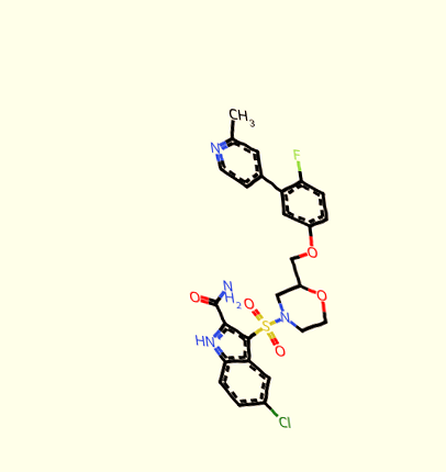 Cc1cc(-c2cc(OCC3CN(S(=O)(=O)c4c(C(N)=O)[nH]c5ccc(Cl)cc45)CCO3)ccc2F)ccn1